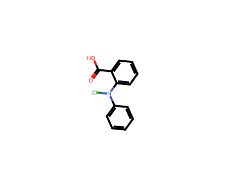 O=C(O)c1ccccc1N(Cl)c1ccccc1